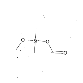 CO[Si](C)(C)O[C]=O